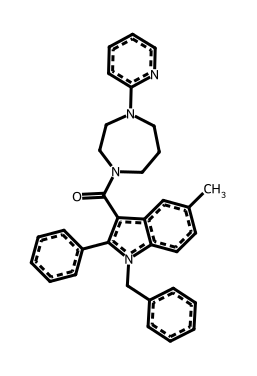 Cc1ccc2c(c1)c(C(=O)N1CCCN(c3ccccn3)CC1)c(-c1ccccc1)n2Cc1ccccc1